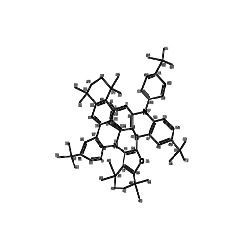 Cc1cc2c3c(c1)N(c1ccc(C(C)(C)C)cc1-c1cc4c(cc1C)C(C)(C)CCC4(C)C)c1c(oc4c1C(C)(C)CCC4(C)C)B3c1cc(C(C)(C)C)ccc1N2c1ccc(C(C)(C)C)cc1